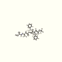 C/C(=C\[C@H](C(C)C)N(C)C(=O)[C@H](CCc1ccccc1)NC(=O)[C@@H](N(C)C(=O)OC(C)(C)C)C(C)(C)c1ccccc1)C(=O)O